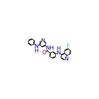 O=C(Nc1cncc(Nc2ccccc2)c1)c1cccc(Nc2ccnc3ccc(F)cc23)c1